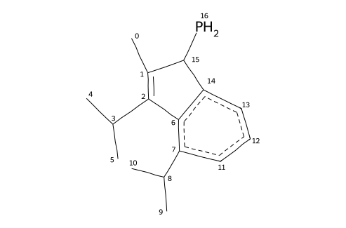 CC1=C(C(C)C)c2c(C(C)C)cccc2C1P